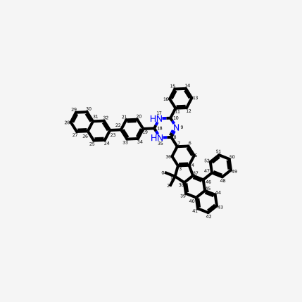 CC1(C)C2=C(C=CC(C3=NC(c4ccccc4)NC(c4ccc(-c5ccc6ccccc6c5)cc4)N3)C2)c2c1cc1ccccc1c2-c1ccccc1